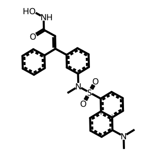 CN(C)c1cccc2c(S(=O)(=O)N(C)c3cccc(C(=CC(=O)NO)c4ccccc4)c3)cccc12